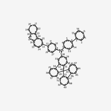 c1ccc(-c2ccc(N(c3ccc(-c4ccc5sc6ccccc6c5c4)cc3)c3ccc4c(c3)-c3ccccc3C43c4ccccc4-c4ccccc43)cc2)cc1